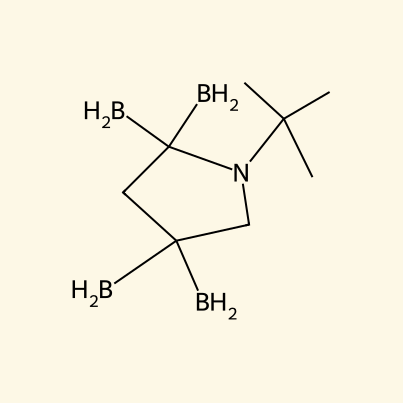 BC1(B)CN(C(C)(C)C)C(B)(B)C1